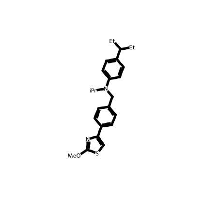 CCC(CC)c1ccc(N(Cc2ccc(-c3csc(OC)n3)cc2)C(C)C)cc1